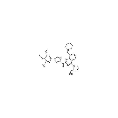 COc1cc(-n2cnc(Nc3nc(N4CCC[C@H]4CO)c4cccc(CN5CCCCC5)c4n3)c2)cc(OC)c1OC